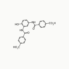 O=C(O)c1ccc(C(=O)Nc2ccc(O)c(NC(=O)c3ccc(C(=O)O)cc3)c2)cc1